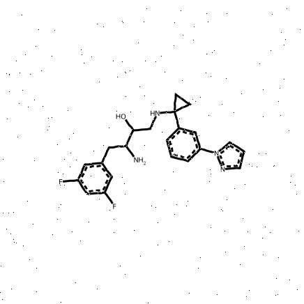 NC(Cc1cc(F)cc(F)c1)C(O)CNC1(c2cccc(-n3cccn3)c2)CC1